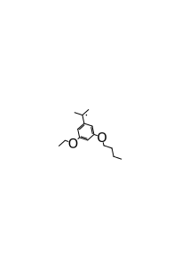 CCCCOc1cc(OCC)cc([C](C)C)c1